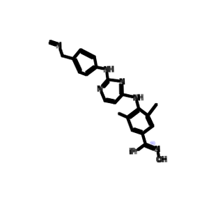 C=NCc1ccc(Nc2nccc(Nc3c(C)cc(/C(=N/O)C(C)C)cc3C)n2)cc1